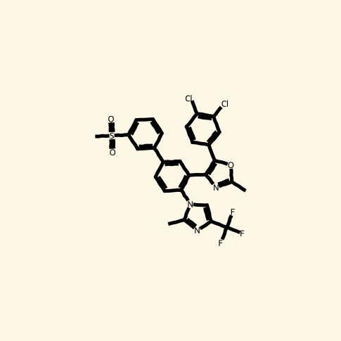 Cc1nc(-c2cc(-c3cccc(S(C)(=O)=O)c3)ccc2-n2cc(C(F)(F)F)nc2C)c(-c2ccc(Cl)c(Cl)c2)o1